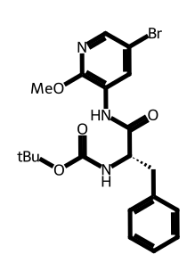 COc1ncc(Br)cc1NC(=O)[C@H](Cc1ccccc1)NC(=O)OC(C)(C)C